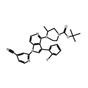 CC1CN(C(=O)OC(C)(C)C)CCN1c1nccc2c1c(-c1ccccc1F)cn2-c1cc(C#N)ccn1